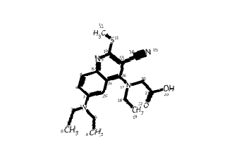 CCN(CC)c1ccc2nc(SC)c(C#N)c(N(CC)CC(=O)O)c2c1